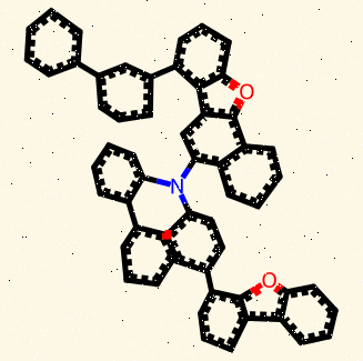 c1ccc(-c2cccc(-c3cccc4oc5c6ccccc6c(N(c6ccc(-c7cccc8c7oc7ccccc78)cc6)c6ccccc6-c6ccccc6)cc5c34)c2)cc1